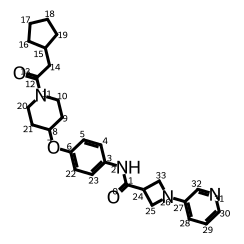 O=C(Nc1ccc(OC2CCN(C(=O)CC3CCCC3)CC2)cc1)C1CN(c2cccnc2)C1